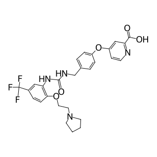 O=C(NCc1ccc(Oc2ccnc(C(=O)O)c2)cc1)Nc1cc(C(F)(F)F)ccc1OCCN1CCCC1